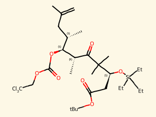 C=C(C)C[C@H](C)[C@H](OC(=O)OCC(Cl)(Cl)Cl)[C@@H](C)C(=O)C(C)(C)[C@H](CC(=O)OC(C)(C)C)O[Si](CC)(CC)CC